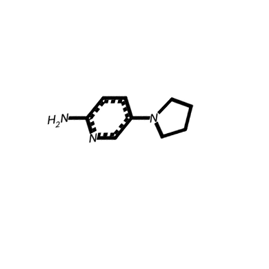 Nc1ccc(N2CCCC2)cn1